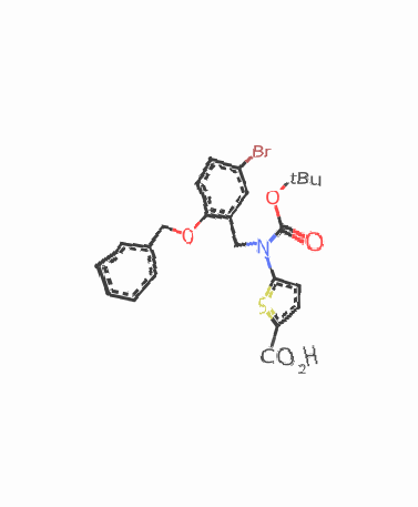 CC(C)(C)OC(=O)N(Cc1cc(Br)ccc1OCc1ccccc1)c1ccc(C(=O)O)s1